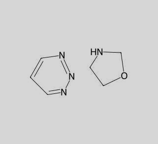 C1COCN1.c1cnnnc1